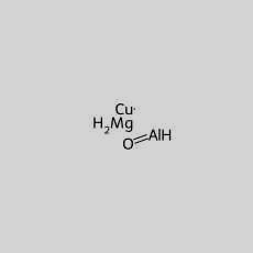 [Cu].[MgH2].[O]=[AlH]